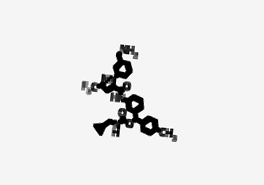 Cc1ccc(C(OC(=O)NCC2CC2)c2cccc(NC(=O)c3cc(C(F)(F)F)nn3-c3cccc(CN)c3)c2)cc1